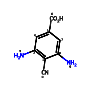 N#Cc1c(N)cc(C(=O)O)cc1N